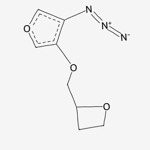 [N-]=[N+]=Nc1cocc1OCC1CCO1